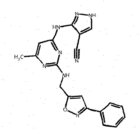 Cc1cc(Nc2n[nH]cc2C#N)nc(NCc2cc(-c3ccccc3)no2)n1